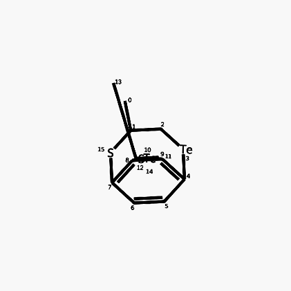 CC1C[Te]c2ccc(c3c2[Te]CC(C)S3)S1